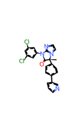 C[C@@]1(c2ccc(-c3cccnc3)cc2)C(=O)N(c2cc(Cl)cc(Cl)c2)c2nccn21